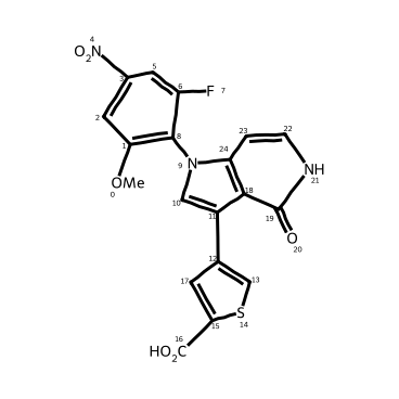 COc1cc([N+](=O)[O-])cc(F)c1-n1cc(-c2csc(C(=O)O)c2)c2c(=O)[nH]ccc21